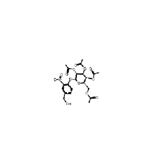 CC(=O)OC[C@H]1O[C@@H](Oc2ccc(CO)cc2[N+](=O)[O-])[C@H](OC(C)=O)C(OC(C)=O)[C@H]1OC(C)=O